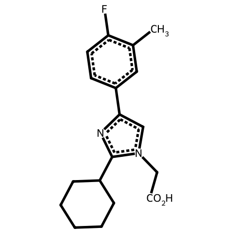 Cc1cc(-c2cn(CC(=O)O)c(C3CCCCC3)n2)ccc1F